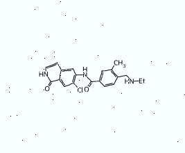 CCNCc1ccc(C(=O)Nc2cc3cc[nH]c(=O)c3cc2Cl)cc1C